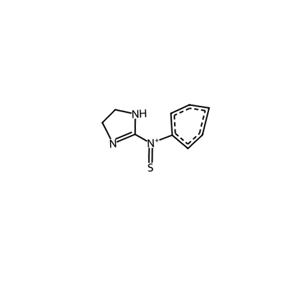 S=[N+](C1=NCCN1)c1ccccc1